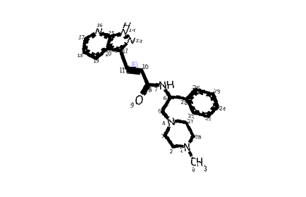 CN1CCN(CC(NC(=O)/C=C/c2n[nH]c3ncccc23)c2ccccc2)CC1